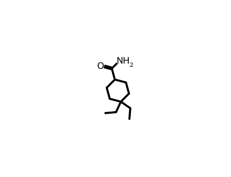 CCC1(CC)CCC(C(N)=O)CC1